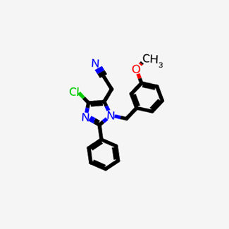 COc1cccc(Cn2c(-c3ccccc3)nc(Cl)c2CC#N)c1